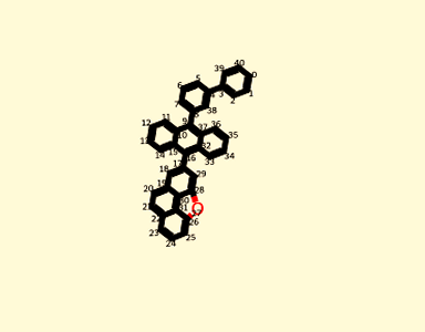 c1ccc(-c2cccc(-c3c4ccccc4c(-c4cc5ccc6cccc7oc(c4)c5c67)c4ccccc34)c2)cc1